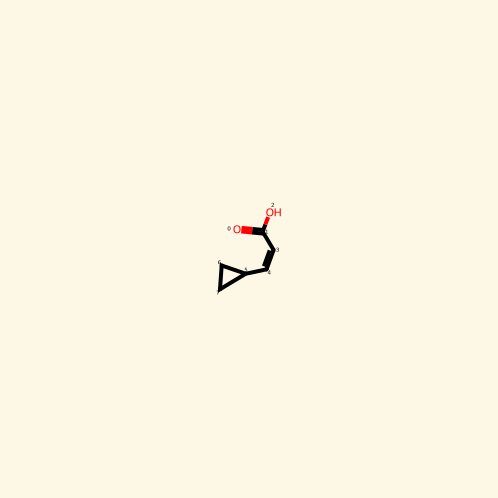 O=C(O)/C=C\C1CC1